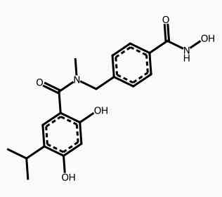 CC(C)c1cc(C(=O)N(C)Cc2ccc(C(=O)NO)cc2)c(O)cc1O